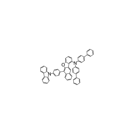 c1ccc(-c2ccc(N(c3ccc(-c4ccccc4)cc3)c3cccc4oc5c(-c6ccc(-n7c8ccccc8c8ccccc87)cc6)c6ccccc6cc5c34)cc2)cc1